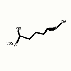 CCOC(=O)C(O)CCCC=NO